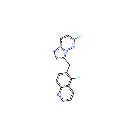 Fc1c(Cc2cnc3ccc(Cl)nn23)ccc2ncccc12